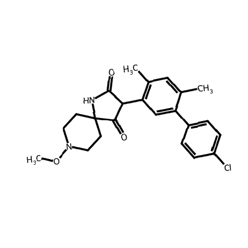 CON1CCC2(CC1)NC(=O)C(c1cc(-c3ccc(Cl)cc3)c(C)cc1C)C2=O